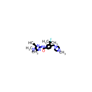 C#Cc1nc(NC(=O)c2ccc(CN3CCN(C)CC3)c(C(C)(C)F)c2)ncc1N(C)C